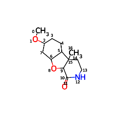 COC1CCC2C(C1)OC1C(=O)NCCC12C